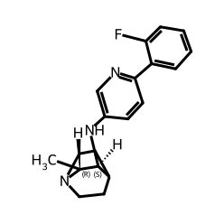 C[C@@H]1[C@@H](Nc2ccc(-c3ccccc3F)nc2)C2CCN1CC2